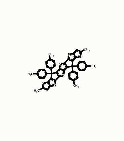 Cc1ccc(C2(c3ccc(C)cc3)c3c(sc4cc(C)sc34)-c3sc4c5c(sc4c32)-c2sc3cc(C)sc3c2C5(c2ccc(C)cc2)c2ccc(C)cc2)cc1